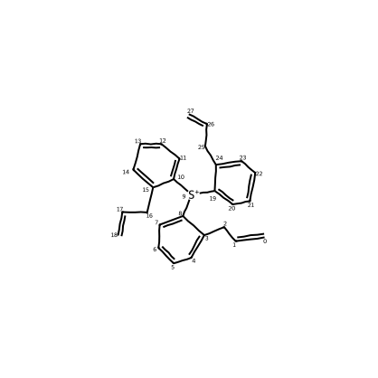 C=CCc1ccccc1[S+](c1ccccc1CC=C)c1ccccc1CC=C